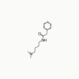 CN(C)CCCCNC(=O)Cc1cc[c]cc1